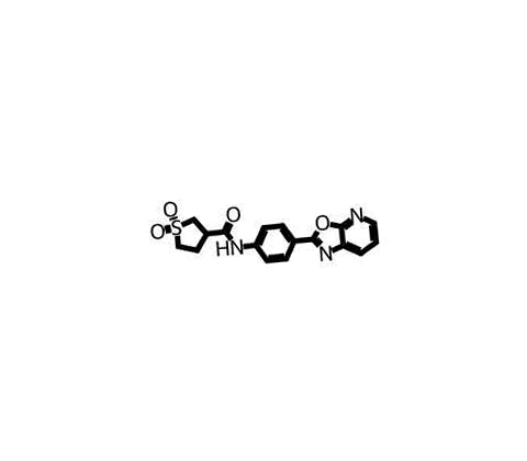 O=C(Nc1ccc(-c2nc3cccnc3o2)cc1)C1CCS(=O)(=O)C1